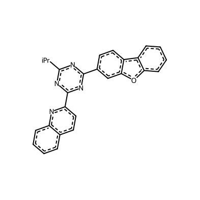 CC(C)c1nc(-c2ccc3c(c2)oc2ccccc23)nc(-c2ccc3ccccc3n2)n1